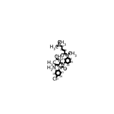 C=C/N=C1\C(=C(/C)N)N(c2ccc(Cl)cc2)C(=O)N1c1cccc(N(C)C(=O)/C=C/CN(C)C)c1